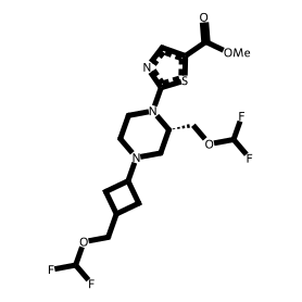 COC(=O)c1cnc(N2CCN(C3CC(COC(F)F)C3)C[C@H]2COC(F)F)s1